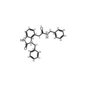 O=C(Cc1cccc2[nH]c(=O)n(Cc3ccccc3)c12)NCc1ccccc1